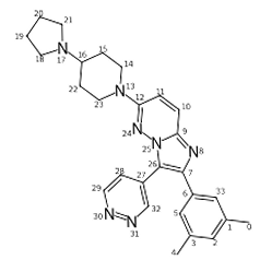 Cc1cc(C)cc(-c2nc3ccc(N4CCC(N5CCCC5)CC4)nn3c2-c2ccnnc2)c1